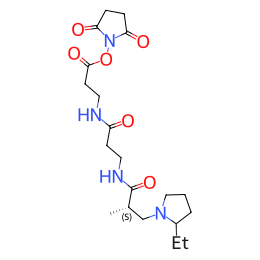 CCC1CCCN1C[C@H](C)C(=O)NCCC(=O)NCCC(=O)ON1C(=O)CCC1=O